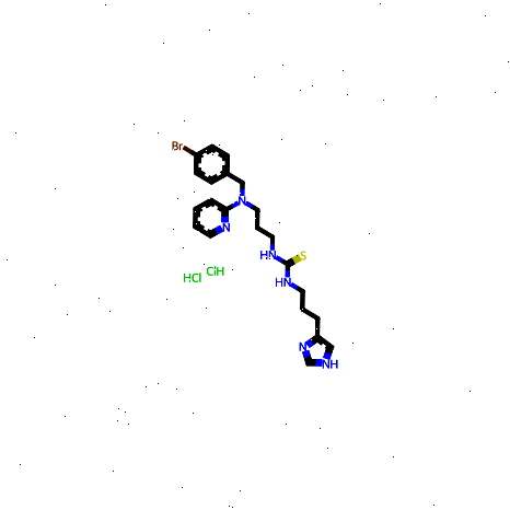 Cl.Cl.S=C(NCCCc1c[nH]cn1)NCCCN(Cc1ccc(Br)cc1)c1ccccn1